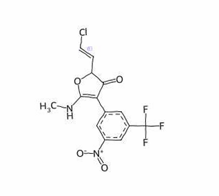 CNC1=C(c2cc([N+](=O)[O-])cc(C(F)(F)F)c2)C(=O)C(/C=C/Cl)O1